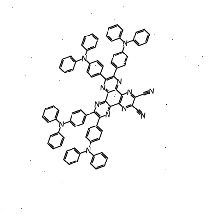 N#Cc1nc2c(nc1C#N)c1nc(-c3ccc(N(c4ccccc4)c4ccccc4)cc3)c(-c3ccc(N(c4ccccc4)c4ccccc4)cc3)nc1c1nc(-c3ccc(N(c4ccccc4)c4ccccc4)cc3)c(-c3ccc(N(c4ccccc4)c4ccccc4)cc3)nc21